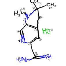 CN1c2cnc(C(=N)N)cc2CC1(C)C.Cl